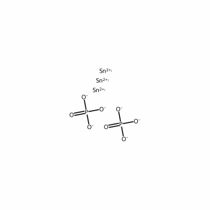 O=P([O-])([O-])[O-].O=P([O-])([O-])[O-].[Sn+2].[Sn+2].[Sn+2]